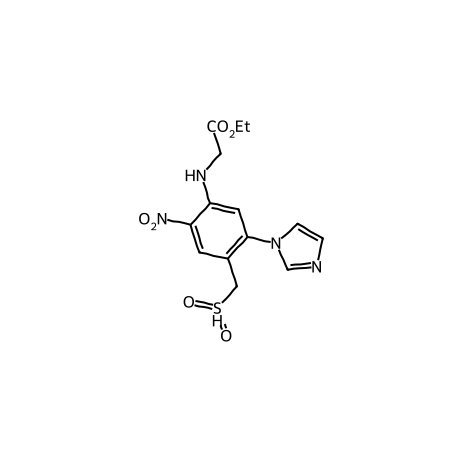 CCOC(=O)CNc1cc(-n2ccnc2)c(C[SH](=O)=O)cc1[N+](=O)[O-]